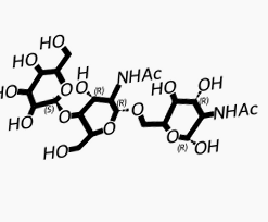 CC(=O)NC1[C@H](OCC2O[C@@H](O)C(NC(C)=O)[C@@H](O)C2O)OC(CO)C(O[C@@H]2OC(CO)C(O)C(O)C2O)[C@@H]1O